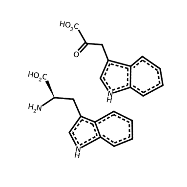 N[C@H](Cc1c[nH]c2ccccc12)C(=O)O.O=C(O)C(=O)Cc1c[nH]c2ccccc12